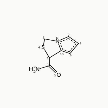 NC(=O)C1SCn2cccc21